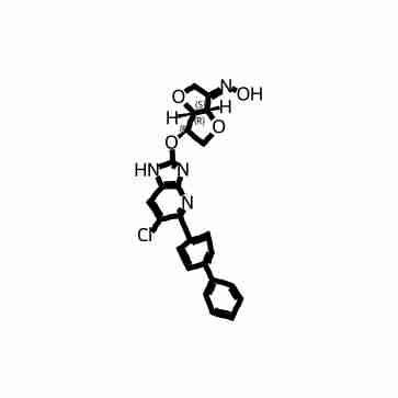 ON=C1CO[C@H]2[C@H](Oc3nc4nc(-c5ccc(-c6ccccc6)cc5)c(Cl)cc4[nH]3)CO[C@@H]12